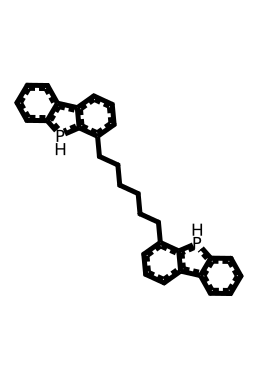 c1ccc2c(c1)[pH]c1c(CCCCCCc3cccc4c3[pH]c3ccccc34)cccc12